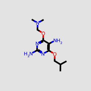 CC(C)COc1nc(N)nc(OCN(C)C)c1N